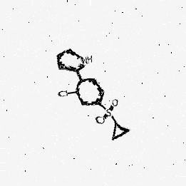 O=S(=O)(c1ccc(-c2ccc[nH]2)c(Cl)c1)C1CC1